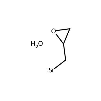 O.[Si]CC1CO1